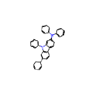 C1=CCC(c2ccc3c4ccc(N(c5ccccc5)c5ccccc5)cc4n(-c4ccccc4)c3c2)C=C1